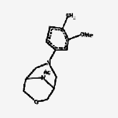 COc1cc(N2CC3COCC(C2)N3C(C)=O)ccc1N